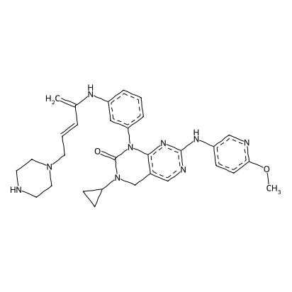 C=C(/C=C/CN1CCNCC1)Nc1cccc(N2C(=O)N(C3CC3)Cc3cnc(Nc4ccc(OC)nc4)nc32)c1